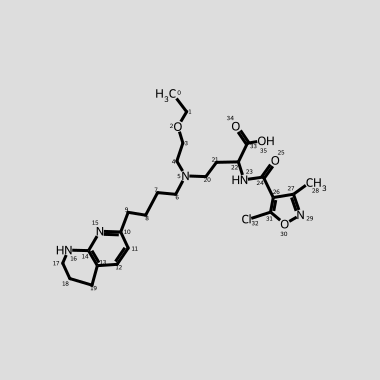 CCOCCN(CCCCc1ccc2c(n1)NCCC2)CCC(NC(=O)c1c(C)noc1Cl)C(=O)O